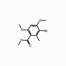 COC(=O)c1c(OC)cc(OC)c(Br)c1C